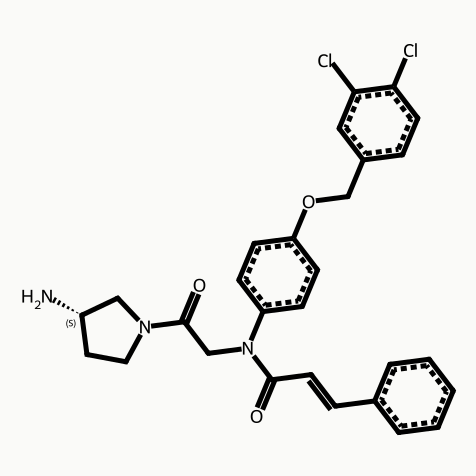 N[C@H]1CCN(C(=O)CN(C(=O)C=Cc2ccccc2)c2ccc(OCc3ccc(Cl)c(Cl)c3)cc2)C1